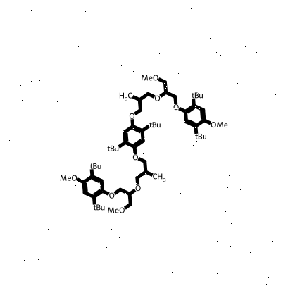 COCC(COc1cc(C(C)(C)C)c(OC)cc1C(C)(C)C)OCC(C)COc1cc(C(C)(C)C)c(OCC(C)COC(COC)COc2cc(C(C)(C)C)c(OC)cc2C(C)(C)C)cc1C(C)(C)C